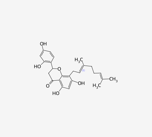 CC(C)=CCC/C(C)=C/Cc1c(O)cc(O)c2c1OC(c1ccc(O)cc1O)CC2=O